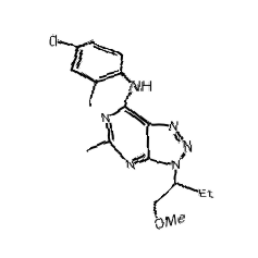 CCC(COC)n1nnc2c(Nc3ccc(Cl)cc3C)nc(C)nc21